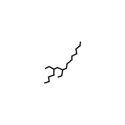 CCCCCCCCC(CC)CC(CC)CCCC